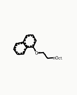 CCCCCCCCCCOc1cccc2ccccc12